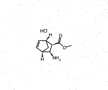 COC(=O)[C@H]1[C@@H](N)[C@@H]2C=C[C@H]1C2.Cl